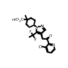 CC1(C(=O)O)CCC(n2ncc(CC(=O)c3ncccc3Cl)c2C(C)(F)F)CC1